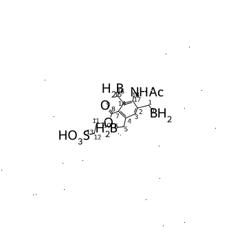 BCc1cc(CB)c(C(=O)OCCS(=O)(=O)O)c(CB)c1NC(C)=O